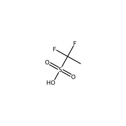 CC(F)(F)S(=O)(=O)O